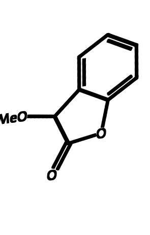 COC1C(=O)Oc2ccccc21